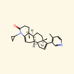 Cc1ccncc1C1=CC[C@H]2[C@@H]3CC=C4N(C5CC5)C(=O)CC[C@]4(C)[C@H]3CC[C@]12C